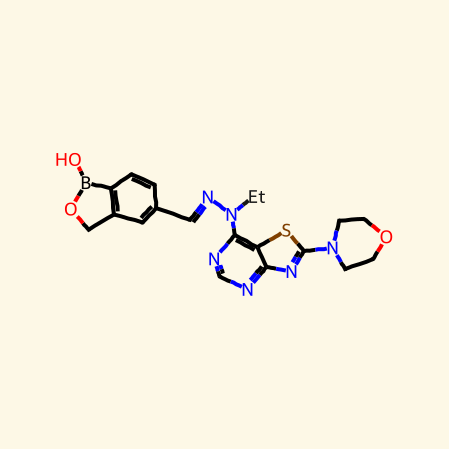 CCN(/N=C/c1ccc2c(c1)COB2O)c1ncnc2nc(N3CCOCC3)sc12